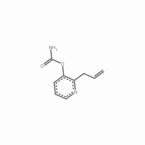 C=CCc1ncccc1OC(N)=O